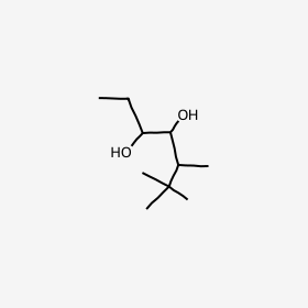 CCC(O)C(O)C(C)C(C)(C)C